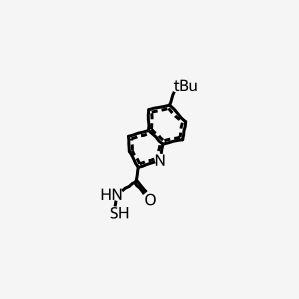 CC(C)(C)c1ccc2nc(C(=O)NS)ccc2c1